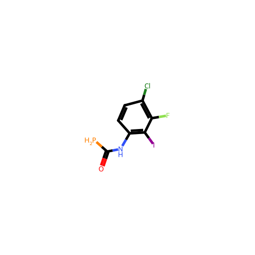 O=C(P)Nc1ccc(Cl)c(F)c1I